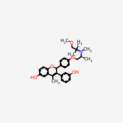 COCC(C)(C)N(C)[C@@H](C)COc1ccc(C2Oc3ccc(O)cc3C(C)=C2c2cccc(O)c2)cc1